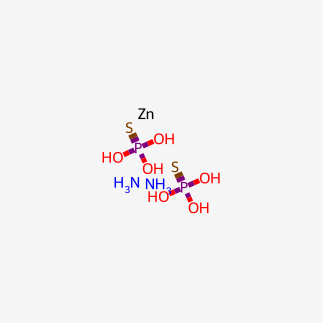 N.N.OP(O)(O)=S.OP(O)(O)=S.[Zn]